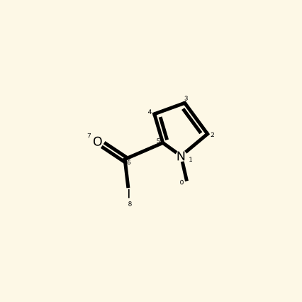 Cn1cccc1C(=O)I